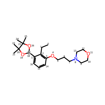 CCc1c(OCCCN2CCOCC2)cccc1B1OC(C)(C)C(C)(C)O1